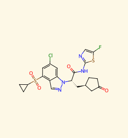 O=C1CC[C@H](C[C@@H](C(=O)Nc2ncc(F)s2)n2ncc3c(S(=O)(=O)C4CC4)cc(Cl)cc32)C1